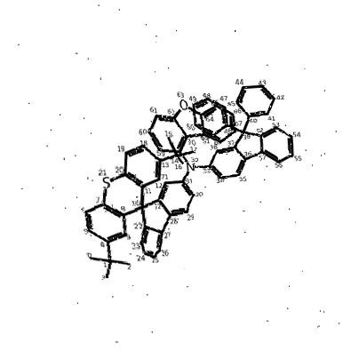 CC(C)(C)c1ccc2c(c1)C1(c3cc(C(C)(C)C)ccc3S2)c2ccccc2-c2ccc(N(c3ccc4c(c3)C(c3ccccc3)(c3ccccc3)c3ccccc3-4)c3cccc4oc5ccccc5c34)cc21